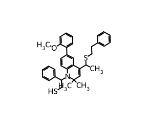 COc1ccccc1-c1ccc2c(c1)C(C(C)SCCc1ccccc1)=CC(C)(C)N2C(CS)c1ccccc1